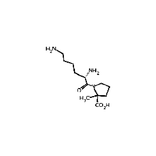 C[C@@]1(C(=O)O)CCCN1C(=O)[C@@H](N)CCCCN